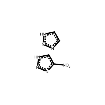 O=[N+]([O-])c1c[nH]nn1.c1c[nH]nn1